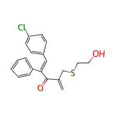 C=C(CSCCO)C(=O)/C(=C/c1ccc(Cl)cc1)c1ccccc1